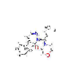 CCCC(N1CCOCC1)n1nccc(-c2ccccc2)c1=O